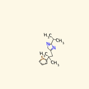 CC(C)C1=NCC(CC(C)(C)c2cccs2)=N1